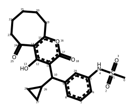 CS(=O)(=O)Nc1cccc(C(c2c(O)c3c(oc2=O)CCCCCC3=O)C2CC2)c1